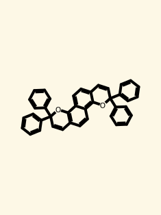 C1=CC(c2ccccc2)(c2ccccc2)Oc2c1ccc1c3c(ccc21)C=CC(c1ccccc1)(c1ccccc1)O3